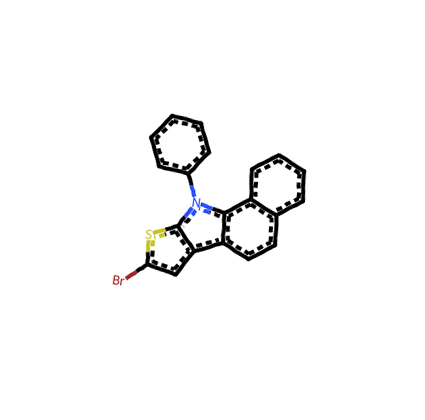 Brc1cc2c3ccc4ccccc4c3n(-c3ccccc3)c2s1